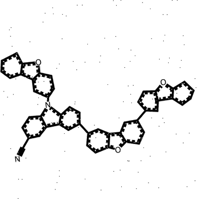 N#Cc1ccc2c(c1)c1cc(-c3ccc4oc5ccc(-c6ccc7oc8ccccc8c7c6)cc5c4c3)ccc1n2-c1ccc2oc3ccccc3c2c1